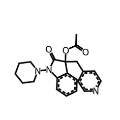 CC(=O)OC1(Cc2ccncc2)C(=O)N(N2CCCCC2)c2ccccc21